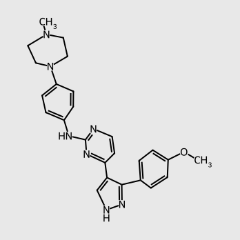 COc1ccc(-c2n[nH]cc2-c2ccnc(Nc3ccc(N4CCN(C)CC4)cc3)n2)cc1